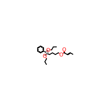 CC=CC(=O)OCCCC[Si](OCCC)(OCCC)c1ccccc1